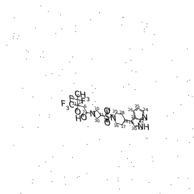 CC(F)(F)C(O)(CC(=O)N1CC(S(=O)(=O)N2CCC(c3c[nH]c4ncccc34)CC2)C1)C(F)(F)F